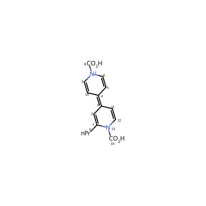 CCCC1=CC(=C2C=CN(C(=O)O)C=C2)C=CN1C(=O)O